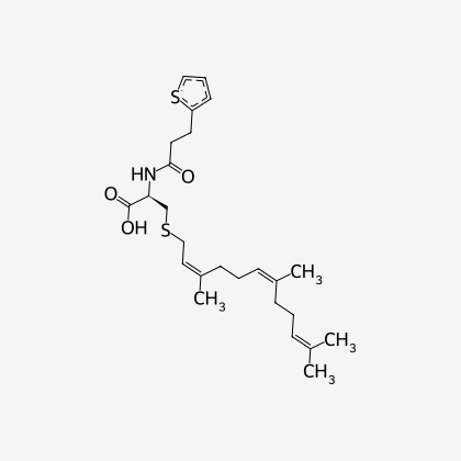 CC(C)=CCCC(C)=CCCC(C)=CCSC[C@H](NC(=O)CCc1cccs1)C(=O)O